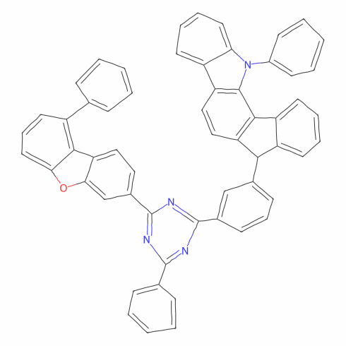 c1ccc(-c2nc(-c3cccc(C4c5ccccc5-c5c4ccc4c6ccccc6n(-c6ccccc6)c54)c3)nc(-c3ccc4c(c3)oc3cccc(-c5ccccc5)c34)n2)cc1